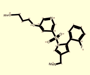 CNCc1cc(-c2ccccc2F)n(S(=O)(=O)c2cncc(OCCCOC)c2)c1